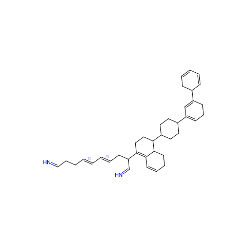 N=CCC/C=C/C=C/CC(C=N)C1=C2C=CCCC2C(C2CCC(C3=CCCC(C4C=CC=CC4)=C3)CC2)CC1